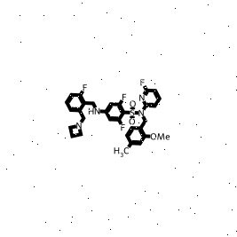 COc1cc(C)ccc1CN(c1cccc(F)n1)S(=O)(=O)c1c(F)cc(NCc2c(F)cccc2CN2CCC2)cc1F